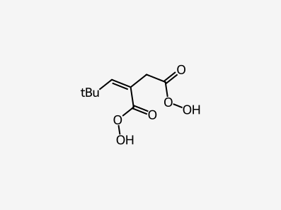 CC(C)(C)C=C(CC(=O)OO)C(=O)OO